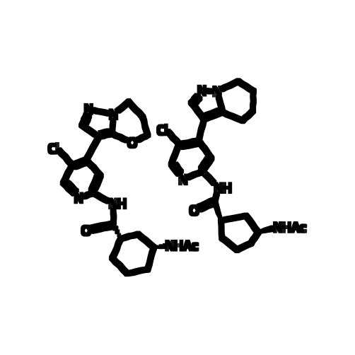 CC(=O)N[C@@H]1CCC[C@H](C(=O)Nc2cc(-c3cnn4c3OCCC4)c(Cl)cn2)C1.CC(=O)N[C@H]1CCC[C@@H](C(=O)Nc2cc(-c3cnn4c3CCCC4)c(Cl)cn2)C1